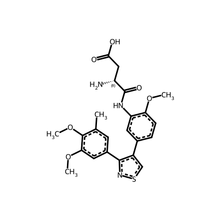 COc1ccc(-c2csnc2-c2cc(C)c(OC)c(OC)c2)cc1NC(=O)[C@H](N)CC(=O)O